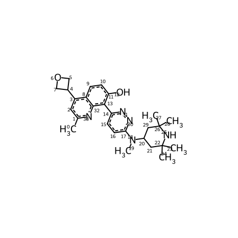 Cc1cc(C2COC2)c2ccc(O)c(-c3ccc(N(C)C4CC(C)(C)NC(C)(C)C4)nn3)c2n1